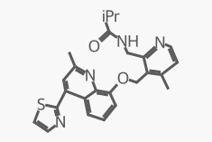 Cc1cc(-c2nccs2)c2cccc(OCc3c(C)ccnc3CNC(=O)C(C)C)c2n1